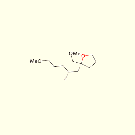 COCCC[C@@H](C)C[C@@]1(COC)CCCO1